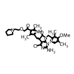 COc1c(C)cnc(CN2C(=O)/C(=C\c3[nH]c(C)c(C(=O)COCCN4CCCC4)c3C)c3c(Cl)nc(N)nc32)c1C